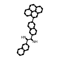 N=C(C(=N)c1ccc2cc(-c3cc4cccc5ccc6cccc3c6c54)ccc2c1)c1ccc2ccccc2c1